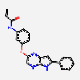 C=CC(=O)Nc1cccc(Oc2cnc3[nH]c(-c4ccccc4)cc3n2)c1